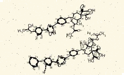 CC(=O)OCC[N+]1(Cc2ccc(-c3noc(-c4ccc(CC(C)C)cc4)n3)cc2)CCC(C(=O)O)(C(=O)O)CC1C.CC(C)OC(=O)OC1C(C(=O)O)(C(=O)O)CCN(Cc2ccc(-c3noc(-c4ccc(-c5ccccc5)c(F)c4)n3)cc2)C1(C)C